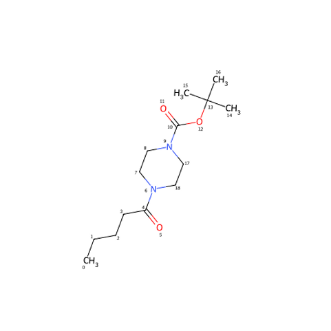 CCCCC(=O)N1CCN(C(=O)OC(C)(C)C)CC1